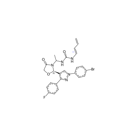 C=C/C=C/NC(=O)NC(C)N1C(=O)CO[C@@H]1c1cn(-c2ccc(Br)cc2)nc1-c1ccc(F)cc1